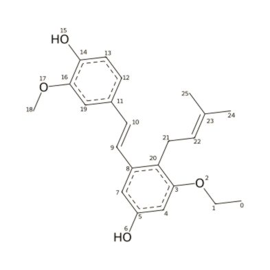 CCOc1cc(O)cc(C=Cc2ccc(O)c(OC)c2)c1CC=C(C)C